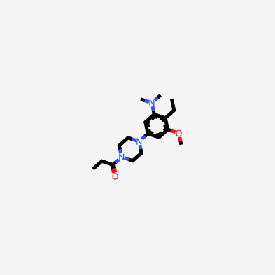 CCC(=O)N1CCN(c2cc(OC)c(CC)c(N(C)C)c2)CC1